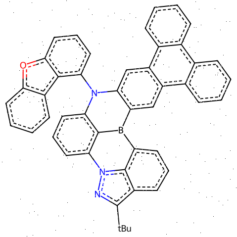 CC(C)(C)c1nn2c3c(cccc13)B1c3cc4c5ccccc5c5ccccc5c4cc3N(c3cccc4oc5ccccc5c34)c3cccc-2c31